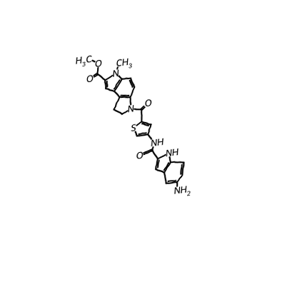 COC(=O)c1cc2c3c(ccc2n1C)N(C(=O)c1cc(NC(=O)c2cc4cc(N)ccc4[nH]2)cs1)CC3